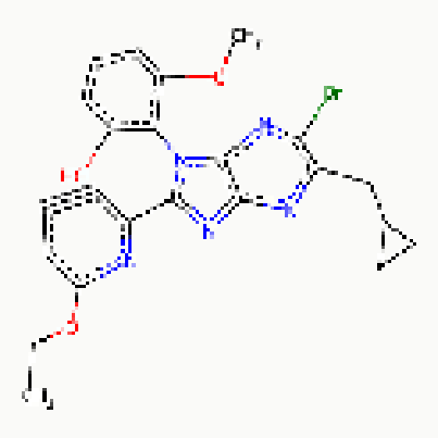 CCOc1cc#cc(-c2nc3nc(CC4CC4)c(Br)nc3n2-c2c(O)cccc2OC)n1